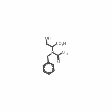 O=C(O)C(CO)N(Cc1ccccc1)C(=O)C(F)(F)F